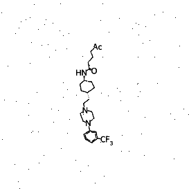 CC(=O)CCCC(=O)N[C@H]1CC[C@H](CCN2CCN(c3cccc(C(F)(F)F)c3)CC2)CC1